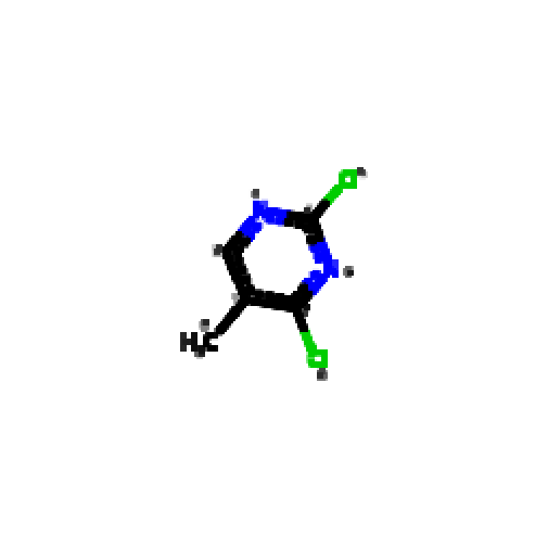 Cc1[c]nc(Cl)nc1Cl